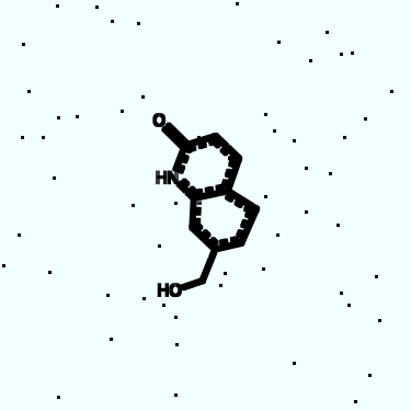 O=c1ccc2ccc(CO)cc2[nH]1